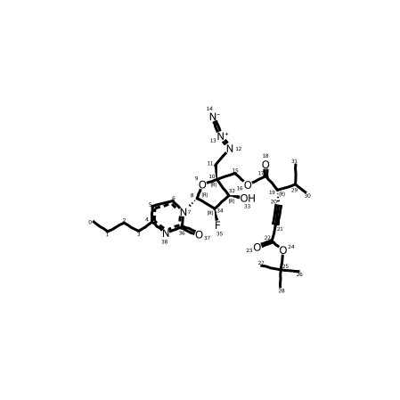 CCCCc1ccn([C@@H]2O[C@](CN=[N+]=[N-])(COC(=O)[C@@H](C#CC(=O)OC(C)(C)C)C(C)C)[C@@H](O)[C@H]2F)c(=O)n1